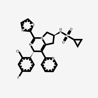 O=S(=O)(N[C@H]1CC2=C(c3ccccn3)[C@H](c3ccc(F)cc3Cl)N=C(c3nccs3)N2C1)C1CC1